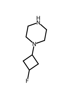 FC1CC(N2CCNCC2)C1